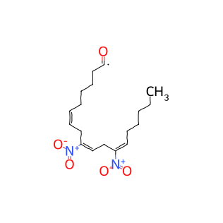 CCCCC/C=C(\C/C=C(\C/C=C\CCCC[C]=O)[N+](=O)[O-])[N+](=O)[O-]